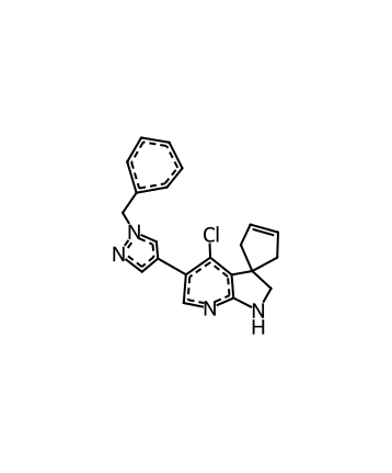 Clc1c(-c2cnn(Cc3ccccc3)c2)cnc2c1C1(CC=CC1)CN2